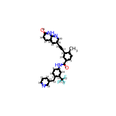 Cc1ccc(C(=O)Nc2ccc(Cc3cccnc3)c(C(F)(F)F)c2)cc1C#Cc1cnc2[nH]c(=O)ccc2c1